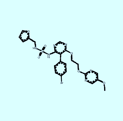 COc1cnc(OCCOc2ncnc(NS(=O)(=O)NCc3ccco3)c2-c2ccc(Br)cc2)nc1